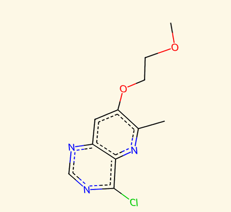 COCCOc1cc2ncnc(Cl)c2nc1C